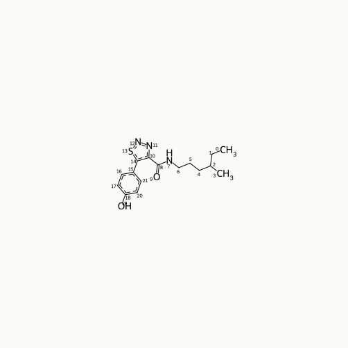 CCC(C)CCCNC(=O)c1nnsc1-c1ccc(O)cc1